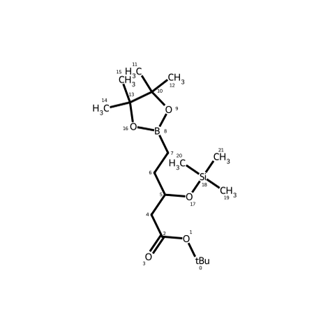 CC(C)(C)OC(=O)CC(CCB1OC(C)(C)C(C)(C)O1)O[Si](C)(C)C